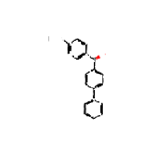 Bc1ccc(C(=O)c2ccc(-c3ccccc3)cc2)cc1